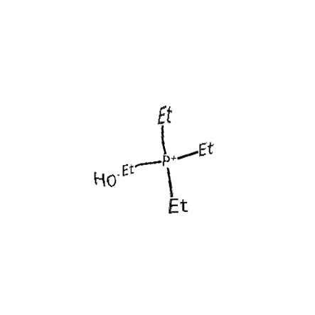 CC[P+](CC)(CC)CC.[OH-]